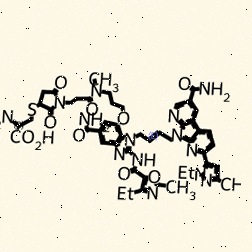 CCc1nc(C)oc1C(=O)Nc1nc2cc(C(N)=O)cc(OCCCN(C)C(=O)CCN3C(=O)CC(SC[C@H](N)C(=O)O)C3=O)c2n1C/C=C/Cn1c2ncc(C(N)=O)cc2c2ccc(-c3cc(C)nn3CC)nc21